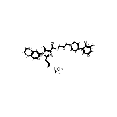 CCCc1nc(C(=O)NCCCN2CCN(c3cccc(Cl)c3Cl)CC2)c(C)n1-c1ccc2c(c1)OCCO2.Cl.Cl